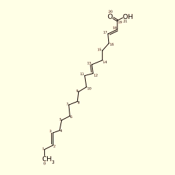 CCC=CCCCCCCCCC=CCCCC=CC(=O)O